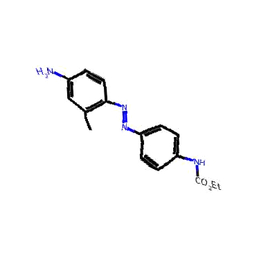 CCOC(=O)Nc1ccc(N=Nc2ccc(N)cc2C)cc1